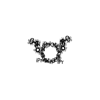 CC(C)CC1CO[C@H](C)CN(C)[C@@H](CC(C)C)CO[C@H](Cc2ccc(Cn3nccc3C3CCCO3)cc2)CN(C)[C@@H](CC(C)C)CO[C@H](C)CN(C)[C@@H](CC(C)C)CO[C@H](Cc2ccc(Cn3nccc3C3CCCO3)cc2)CN1C